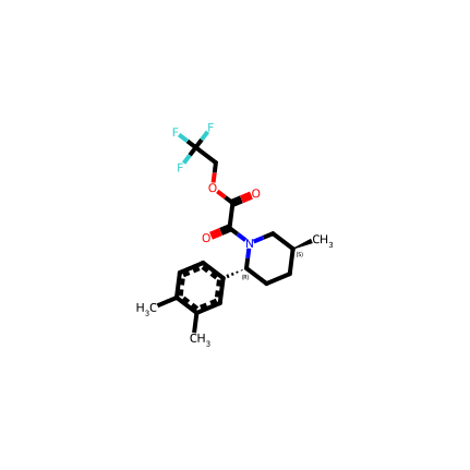 Cc1ccc([C@H]2CC[C@H](C)CN2C(=O)C(=O)OCC(F)(F)F)cc1C